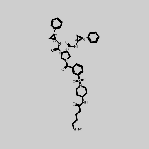 CCCCCCCCCCCCCCC(=O)NC1CCN(S(=O)(=O)c2cccc(C(=O)N3C[C@@H](C(=O)N[C@H]4C[C@@H]4c4ccccc4)[C@H](C(=O)N[C@H]4C[C@@H]4c4ccccc4)C3)c2)CC1